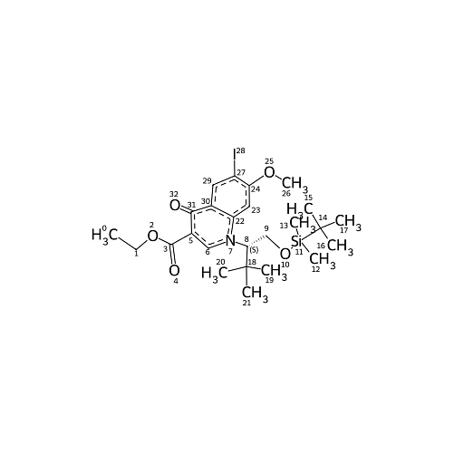 CCOC(=O)c1cn([C@H](CO[Si](C)(C)C(C)(C)C)C(C)(C)C)c2cc(OC)c(I)cc2c1=O